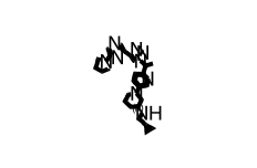 CC(c1ccc(N2CCC[C@@H](NCC3CC3)C2)cn1)n1cc(-c2cncc(N3CCCC3)n2)nn1